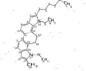 CCCCCCc1cc2ccc3c(c2n1CC)CCc1c-3ccc2cc(C)n(CC)c12